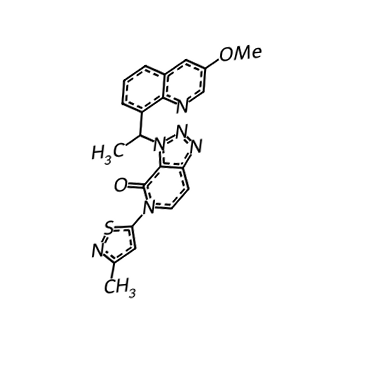 COc1cnc2c(C(C)n3nnc4ccn(-c5cc(C)ns5)c(=O)c43)cccc2c1